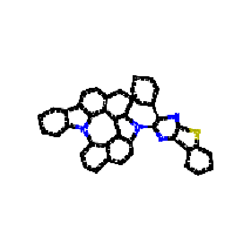 c1ccc(-c2nc3sc4ccccc4c3nc2-n2c3ccc4cccc5c4c3c3c4c(ccc6c7ccccc7n5c64)ccc32)cc1